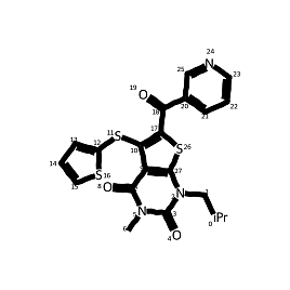 CC(C)Cn1c(=O)n(C)c(=O)c2c(Sc3cccs3)c(C(=O)c3cccnc3)sc21